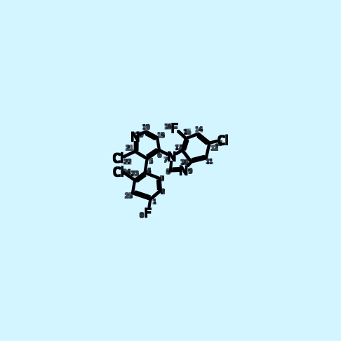 Fc1ccc(-c2c(-n3cnc4cc(Cl)cc(F)c43)ccnc2Cl)c(Cl)c1